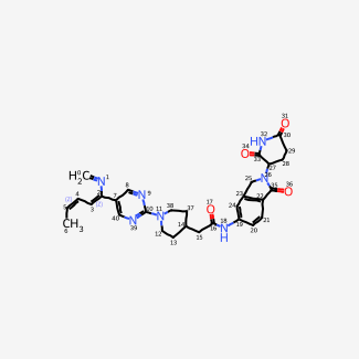 C=N/C(=C\C=C/C)c1cnc(N2CCC(CC(=O)Nc3ccc4c(c3)CN(C3CCC(=O)NC3=O)C4=O)CC2)nc1